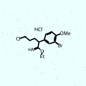 CCOC(=N)C(CCCCl)c1ccc(OC)c(Br)c1.Cl